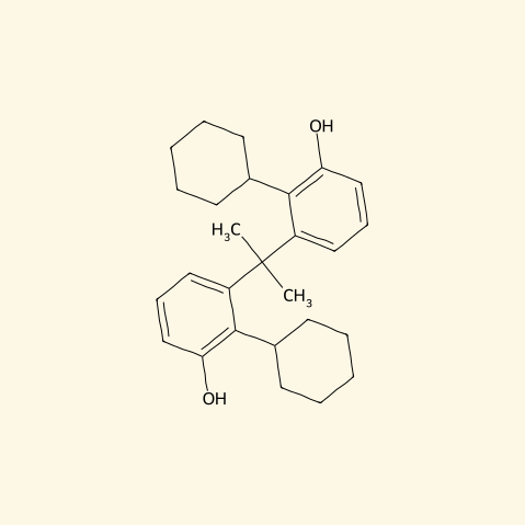 CC(C)(c1cccc(O)c1C1CCCCC1)c1cccc(O)c1C1CCCCC1